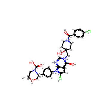 C[C@@H]1CN(C(=O)O)[C@@H](c2ccc(-n3c(Cl)cc4c(=O)n(CC5(O)CCN(C(=O)c6ccc(Cl)cc6)CC5)cnc43)cc2)CO1